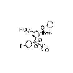 C[C@@H](NC(=O)c1cc(C(=O)O)cc(N(c2ccc(F)cc2)S(=O)(=O)N2CCOCC2)c1)c1ccccc1